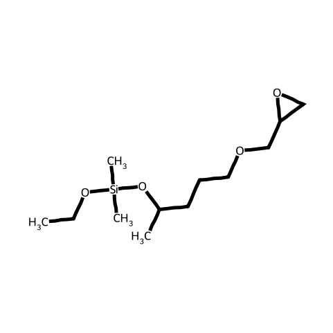 CCO[Si](C)(C)OC(C)CCCOCC1CO1